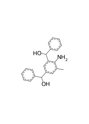 Cc1cc(C(O)c2ccccc2)cc(C(O)c2ccccc2)c1N